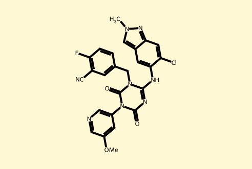 COc1cncc(-n2c(=O)nc(Nc3cc4cn(C)nc4cc3Cl)n(Cc3ccc(F)c(C#N)c3)c2=O)c1